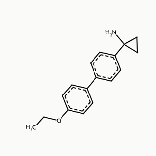 CCOc1ccc(-c2ccc(C3(N)CC3)cc2)cc1